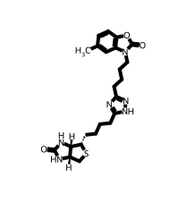 Cc1ccc2oc(=O)n(CCCCc3n[nH]c(CCCC[C@@H]4SC[C@@H]5NC(=O)N[C@@H]54)n3)c2c1